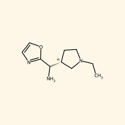 CCN1CC[C@@H](C(N)c2ncco2)C1